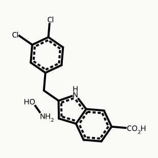 NO.O=C(O)c1ccc2cc(Cc3ccc(Cl)c(Cl)c3)[nH]c2c1